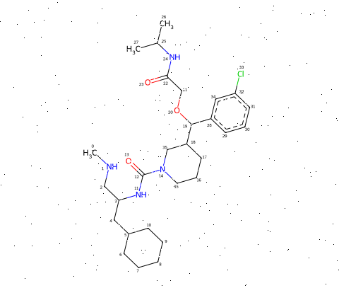 CNCC(CC1CCCCC1)NC(=O)N1CCCC(C(OCC(=O)NC(C)C)c2cccc(Cl)c2)C1